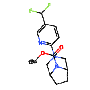 CC(C)(C)OC(=O)N1C2CCC1CN(c1ccc(C(F)F)cn1)C2